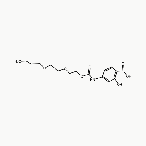 CCCCOCCOCCOC(=O)Nc1ccc(C(=O)O)c(O)c1